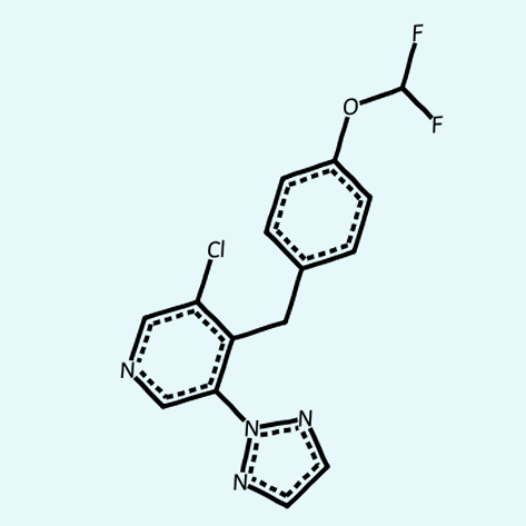 FC(F)Oc1ccc(Cc2c(Cl)cncc2-n2nccn2)cc1